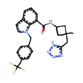 CC1(Cc2nnn[nH]2)CC(NC(=O)c2cccc3ccn(Cc4ccc(C(F)(F)F)cc4)c23)C1